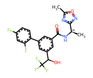 Cc1nc([C@@H](C)NC(=O)c2cc(-c3ccc(F)cc3F)cc(C(O)C(F)(F)F)c2)no1